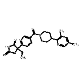 CCC1(c2ccc(C(=O)N3CCC(c4ncc(C)cc4C)CC3)cn2)CC(=O)NC1=O